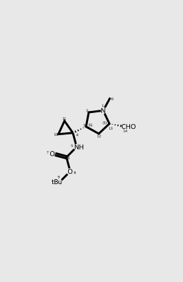 CN1C[C@@H](C2(NC(=O)OC(C)(C)C)CC2)C[C@H]1C=O